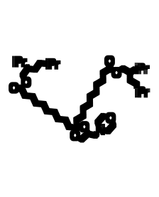 CC(C)CCC(COC(=O)CCCCCCCCCC1(CCCCCCCCCC(=O)OCC(CCC(C)C)C(C)C)OCC(CN2CCOCC2)O1)C(C)C